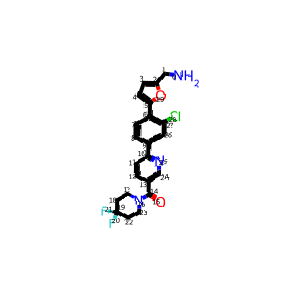 NCc1ccc(-c2ccc(-c3ccc(C(=O)N4CCC(F)(F)CC4)cn3)cc2Cl)o1